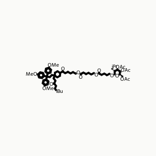 CCC(C)CCC(=O)CCC1(CCC(c2ccc(OC)cc2)(c2ccc(OC)cc2)c2ccc(OC)cc2)CCC(C(=O)CCCCCOC(=O)CCCCCOC(=O)CCCCO[C@H]2O[C@H](COC(C)=O)[C@H](OC(C)=O)[C@H](OC(C)=O)[C@H]2CC(C)C)CC1